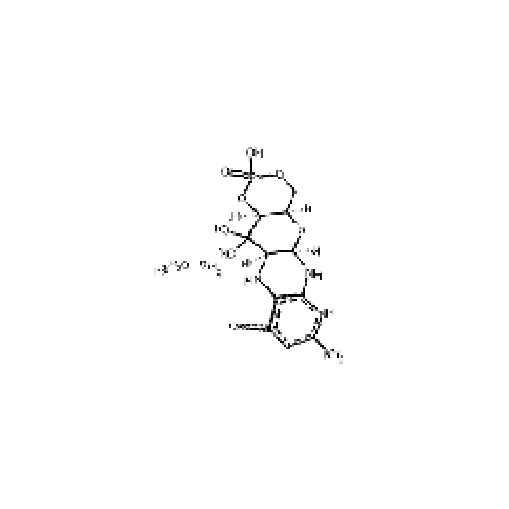 Br.Nc1nc(=O)c2c([nH]1)N[C@@H]1O[C@@H]3COP(=O)(O)O[C@@H]3C(O)(O)[C@@H]1N2.O.O